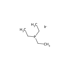 CCP(CC)CC.[Ir]